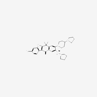 CC1(C)c2cc(N3CCC(N4CCCC4)CC3)c(S(=O)(=O)N3CCCC3)cc2C(=O)c2c1[nH]c1cc(N)ccc21